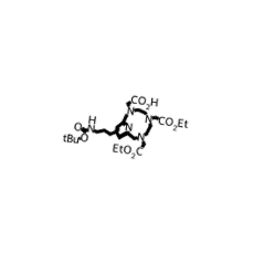 CCOC(=O)CN1CCN(CC(=O)O)Cc2cc(CCCNC(=O)OC(C)(C)C)cc(n2)CN(CC(=O)OCC)CC1